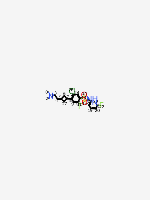 CN(C)CCC1CC(c2cc(F)c(S(=O)(=O)Nc3cccc(F)n3)cc2Cl)C1